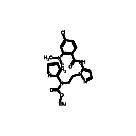 CN(C)c1cc(Cl)ccc1C(=O)Nc1ccnn1CCN(C(=O)OC(C)(C)C)c1ccccn1